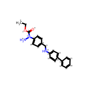 CCOC(=O)N(N)c1ccc(CNc2ccc(-c3ccccc3)cc2)cc1